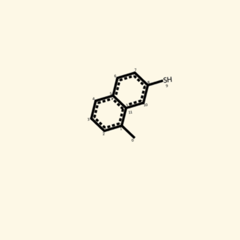 Cc1cccc2ccc(S)cc12